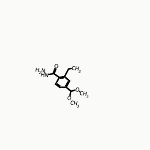 CCc1cc(C(OC)OC)ccc1C(=O)NN